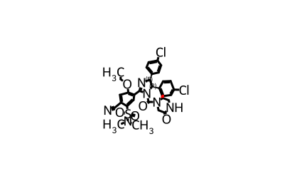 CCOc1cc(C#N)c(S(=O)(=O)N(C)C)cc1C1=N[C@@H](c2ccc(Cl)cc2)[C@@H](c2ccc(Cl)cc2)N1C(=O)N1CCNC(=O)C1